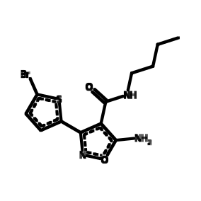 CCCCNC(=O)c1c(-c2ccc(Br)s2)noc1N